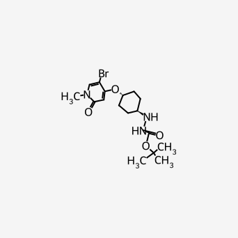 Cn1cc(Br)c(O[C@H]2CC[C@H](NNC(=O)OC(C)(C)C)CC2)cc1=O